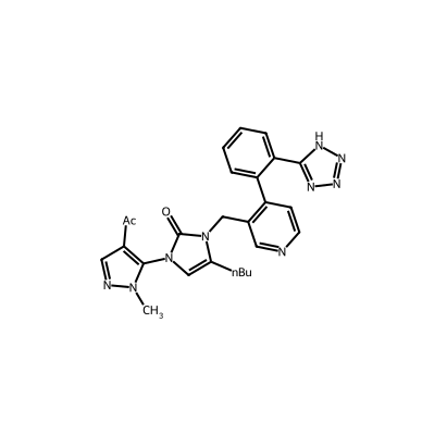 CCCCc1cn(-c2c(C(C)=O)cnn2C)c(=O)n1Cc1cnccc1-c1ccccc1-c1nnn[nH]1